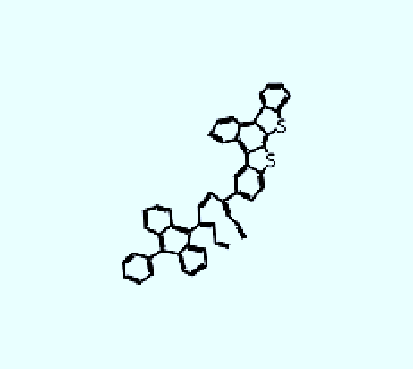 C=C/C=C(/C=C\C(=C\C=C)c1c2ccccc2c(-c2ccccc2)c2ccccc12)c1ccc2sc3c4sc5ccccc5c4c4ccccc4c3c2c1